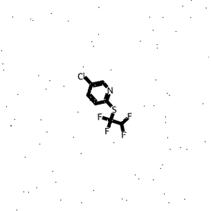 FC(F)C(F)(F)Sc1ccc(Cl)cn1